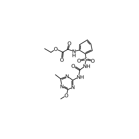 CCOC(=O)C(=O)Nc1ccccc1S(=O)(=O)NC(=O)Nc1nc(C)nc(OC)n1